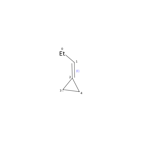 CC/C=C1\[CH]C1